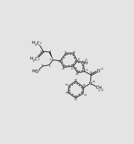 C=C(C)C[C@H](CCO)c1ccc2[nH]c(C(=O)N(C)c3ccccc3)cc2c1